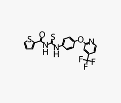 O=C(NC(=S)Nc1ccc(Oc2cc(C(F)(F)F)ccn2)cc1)c1cccs1